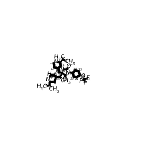 CC(C)c1cc(C(C)C2(C(C)c3ccnc(C(C)C)c3)NC(=O)N(c3ccc(OC(F)(F)F)cc3)C2=O)ccn1